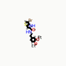 CCOc1ccc(CCNC(=O)c2cc3scc(Br)c3[nH]2)cc1OCC